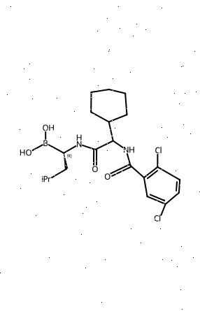 CC(C)C[C@H](NC(=O)C(NC(=O)c1cc(Cl)ccc1Cl)C1CCCCC1)B(O)O